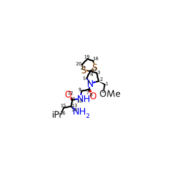 COC[C@@H]1CC2(CN1C(=O)CNC(=O)C(N)CC(C)C)SCCCS2